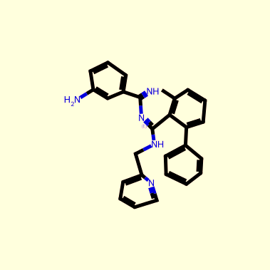 Cc1cccc(-c2ccccc2)c1/C(=N\C(=N)c1cccc(N)c1)NCc1ccccn1